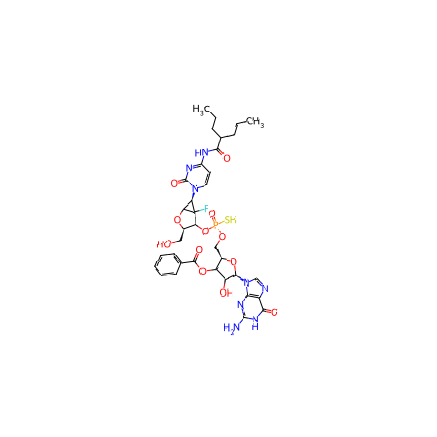 CCCC(CCC)C(=O)Nc1ccn([C@@H]2C3O[C@H](CO)C(OP(=O)(S)OC[C@H]4O[C@@H](n5cnc6c(=O)[nH]c(N)nc65)C(O)C4OC(=O)c4ccccc4)C32F)c(=O)n1